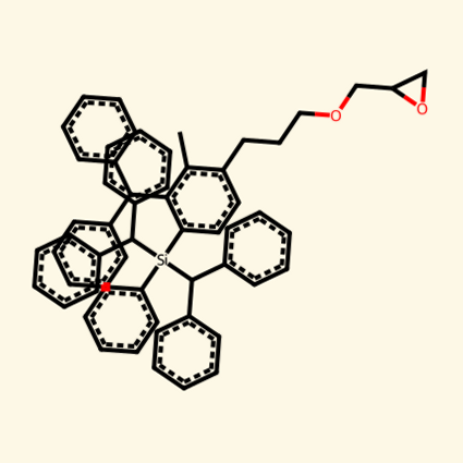 Cc1c(CCCOCC2CO2)ccc([Si](c2ccccc2)(C(c2ccccc2)c2ccccc2)C(c2ccccc2)c2ccccc2)c1C(c1ccccc1)c1ccccc1